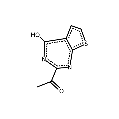 CC(=O)c1nc(O)c2ccsc2n1